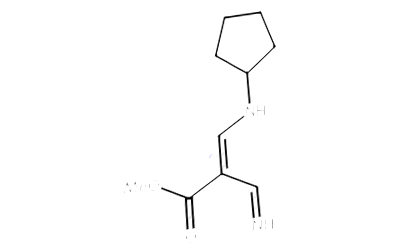 COC(=O)/C(C=N)=C/NC1CCCC1